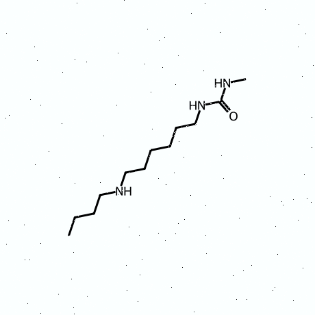 CCCCNCCCCCCNC(=O)NC